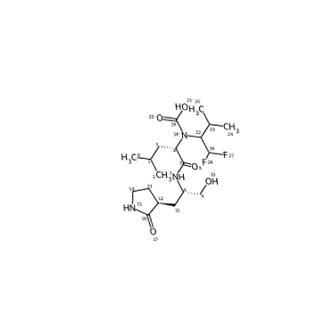 CC(C)C[C@@H](C(=O)N[C@H](CO)C[C@@H]1CCNC1=O)N(C(=O)O)C(C(C)C)C(F)F